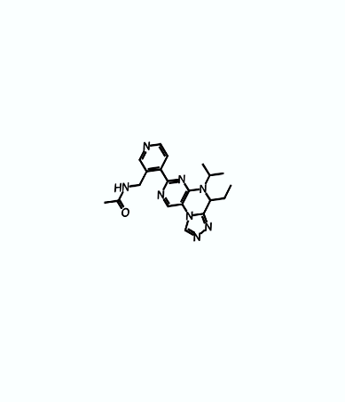 CCC1c2nncn2-c2cnc(-c3ccncc3CNC(C)=O)nc2N1C(C)C